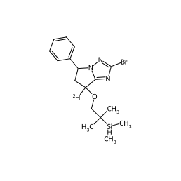 [2H]C1(OCC(C)(C)[SiH](C)C)CC(c2ccccc2)n2nc(Br)nc21